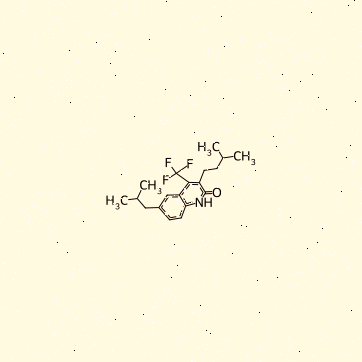 CC(C)CCc1c(C(F)(F)F)c2cc(CC(C)C)ccc2[nH]c1=O